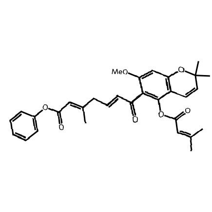 COc1cc2c(c(OC(=O)C=C(C)C)c1C(=O)/C=C/C/C(C)=C/C(=O)Oc1ccccc1)C=CC(C)(C)O2